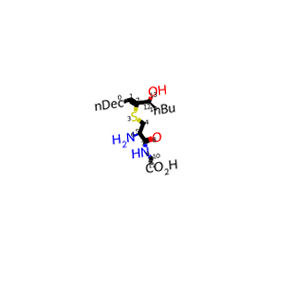 CCCCCCCCCCC=C(SC[C@H](N)C(=O)NCC(=O)O)[C@@H](O)CCCC